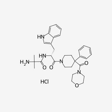 CC(C)(N)C(=O)N[C@H](Cc1c[nH]c2ccccc12)C(=O)N1CCC(C(=O)N2CCOCC2)(c2ccccc2)CC1.Cl